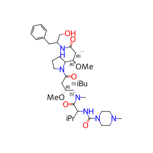 CC[C@H](C)[C@@H]([C@@H](CC(=O)N1CCCC1[C@H](OC)[C@@H](C)C(=O)NC(CO)Cc1ccccc1)OC)N(C)C(=O)C(NC(=O)N1CCN(C)CC1)C(C)C